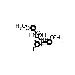 CCOc1cccc(C(=O)N[C@@H](Cc2cc(F)cc(F)c2)[C@H](O)CNCc2cccc(OC)c2)c1